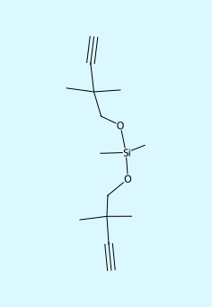 C#CC(C)(C)CO[Si](C)(C)OCC(C)(C)C#C